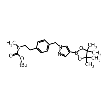 CN(CCc1ccc(Cn2cc(B3OC(C)(C)C(C)(C)O3)cn2)cc1)C(=O)OC(C)(C)C